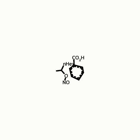 CCCCCCC(C)ON=O.O=C(O)c1ccccc1